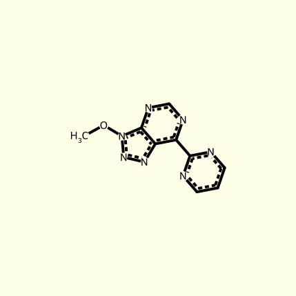 COn1nnc2c(-c3ncccn3)ncnc21